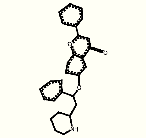 O=c1cc(-c2ccccc2)oc2ccc(OC(CC3CCCCN3)c3ccccc3)cc12